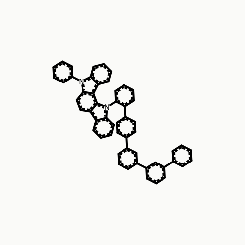 c1ccc(-c2cccc(-c3cccc(-c4ccc(-c5ccccc5-n5c6ccccc6c6ccc7c(c8ccccc8n7-c7ccccc7)c65)cc4)c3)c2)cc1